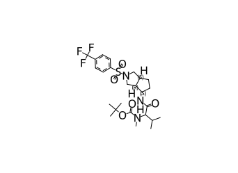 CC(C)C(C(=O)N[C@H]1CC[C@@H]2CN(S(=O)(=O)c3ccc(C(F)(F)F)cc3)C[C@@H]21)N(C)C(=O)OC(C)(C)C